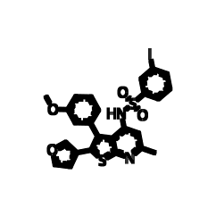 COc1cccc(-c2c(-c3ccoc3)sc3nc(C)cc(NS(=O)(=O)c4cccc(I)c4)c23)c1